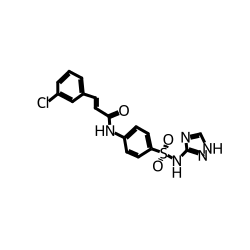 O=C(/C=C/c1cccc(Cl)c1)Nc1ccc(S(=O)(=O)Nc2nc[nH]n2)cc1